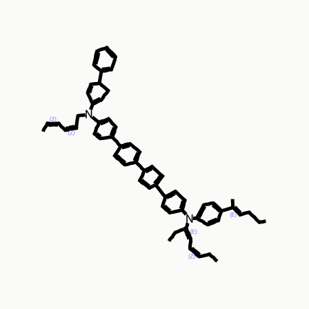 C/C=C\C=C/CN(C1=CCC(c2ccccc2)C=C1)c1ccc(-c2ccc(-c3ccc(-c4ccc(N(/C(=C/C=C\CC)CC)c5ccc(/C(C)=C/CCC)cc5)cc4)cc3)cc2)cc1